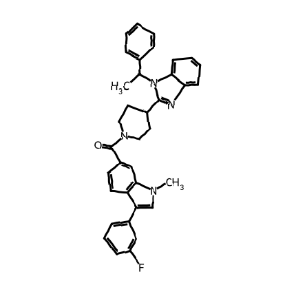 CC(c1ccccc1)n1c(C2CCN(C(=O)c3ccc4c(-c5cccc(F)c5)cn(C)c4c3)CC2)nc2ccccc21